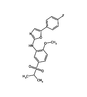 COc1ccc(S(=O)(=O)C(C)C)cc1Nc1ncc(-c2ccc(F)cc2)o1